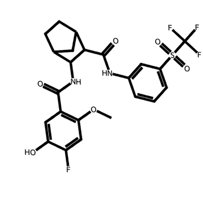 COc1cc(F)c(O)cc1C(=O)NC1C2CCC(C2)C1C(=O)Nc1cccc(S(=O)(=O)C(F)(F)F)c1